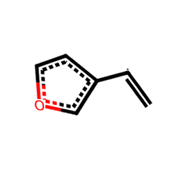 C=[C]c1ccoc1